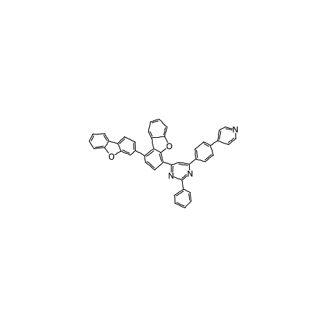 c1ccc(-c2nc(-c3ccc(-c4ccncc4)cc3)cc(-c3ccc(-c4ccc5c(c4)oc4ccccc45)c4c3oc3ccccc34)n2)cc1